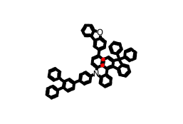 c1ccc(-c2ccc(-c3ccc(N(c4ccc(-c5ccc6oc7ccccc7c6c5)cc4)c4ccccc4-c4cccc5c4-c4ccccc4C5(c4ccccc4)c4ccccc4)cc3)cc2-c2ccccc2)cc1